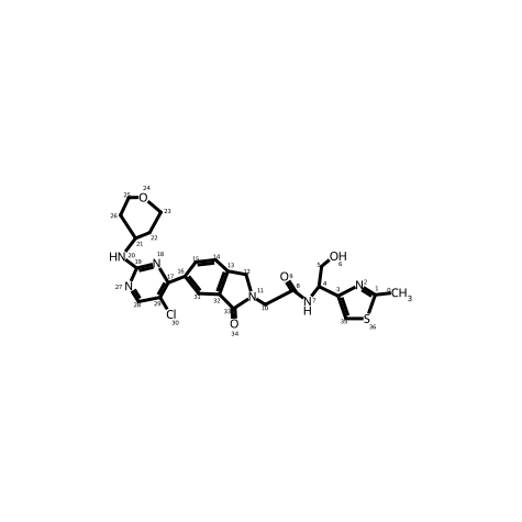 Cc1nc(C(CO)NC(=O)CN2Cc3ccc(-c4nc(NC5CCOCC5)ncc4Cl)cc3C2=O)cs1